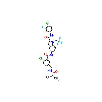 CC(C)C(=O)NCc1ccc(Cl)c(C(=O)Nc2ccc3c(c2)cc(C(=O)Nc2ccc(Cl)c(F)c2)n3CC(F)(F)F)c1